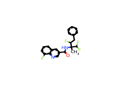 CC(NC(=O)c1cnc2c(F)cccc2c1)(C(F)F)C(F)Cc1ccccc1